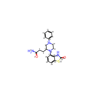 NC(=O)CCC1CN(c2ccccc2)CCN1c1cccc2sc(=O)[nH]c12